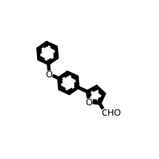 O=Cc1ccc(-c2ccc(Oc3ccccc3)cc2)o1